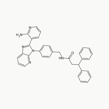 Nc1ncccc1-c1nc2cccnc2n1-c1ccc(CNC(=O)CC(c2ccccc2)c2ccccc2)cc1